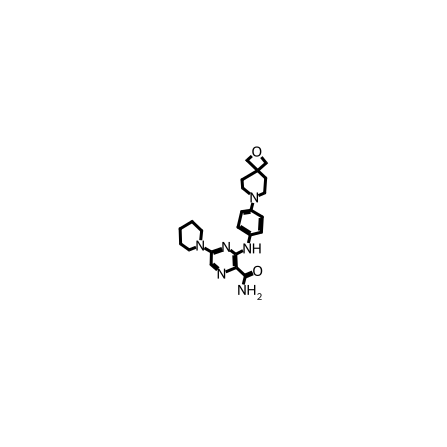 NC(=O)c1ncc(N2CCCCC2)nc1Nc1ccc(N2CCC3(CC2)COC3)cc1